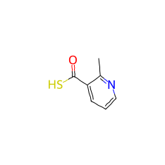 Cc1ncccc1C(=O)S